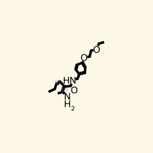 CC/C=C\C(C(=O)NCc1ccc(OCCOCC)cc1)=C(/C)N